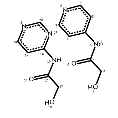 O=C(CO)Nc1ccncc1.O=C(CO)Nc1ccncn1